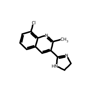 Cc1nc2c(Cl)cccc2cc1C1=NCCN1